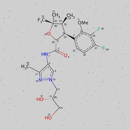 COc1c([C@H]2[C@H](C(=O)Nc3cn(C[C@@H](O)CO)nc3C)O[C@@](C)(C(F)(F)F)[C@H]2C)ccc(F)c1F